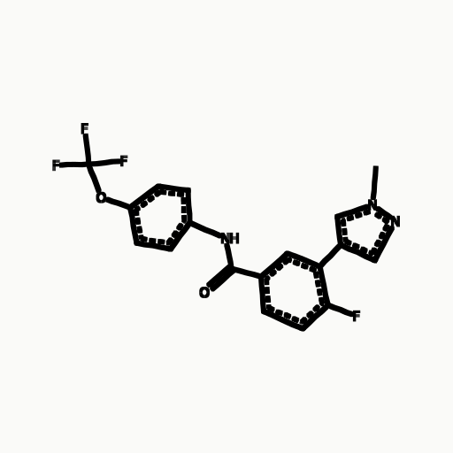 Cn1cc(-c2cc(C(=O)Nc3ccc(OC(F)(F)F)cc3)ccc2F)cn1